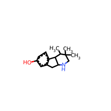 CC1C2c3ccc(O)cc3CC2NCC1(C)C